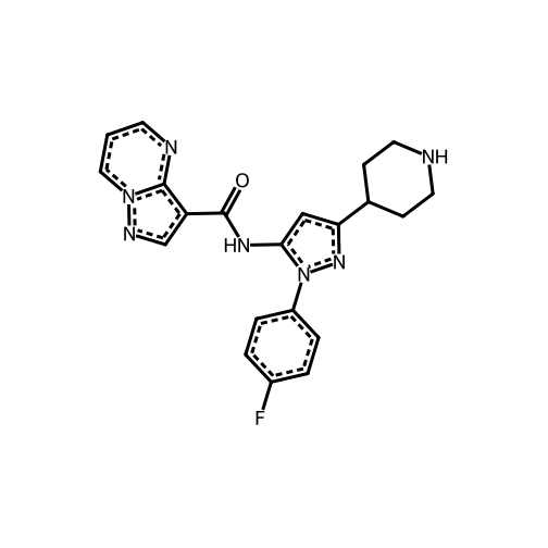 O=C(Nc1cc(C2CCNCC2)nn1-c1ccc(F)cc1)c1cnn2cccnc12